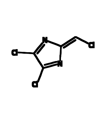 ClC=C1N=C(Cl)C(Cl)=N1